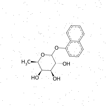 C[C@H]1OC(Oc2cccc3ccccc23)[C@H](O)[C@@H](O)[C@H]1O